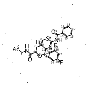 CC(=O)CNC(=O)[C@H]1C[C@H]2CSC(NC(=O)c3ccccc3)=N[C@@]2(c2ccc(F)cc2F)CO1